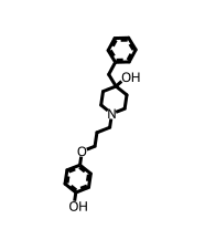 Oc1ccc(OCCCN2CCC(O)(Cc3ccccc3)CC2)cc1